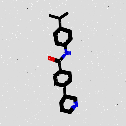 CC(C)c1ccc(NC(=O)c2ccc(-c3cccnc3)cc2)cc1